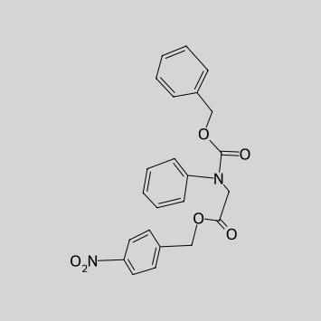 O=C(CN(C(=O)OCc1ccccc1)c1ccccc1)OCc1ccc([N+](=O)[O-])cc1